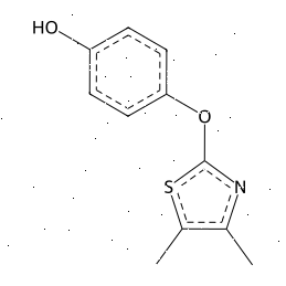 Cc1nc(Oc2ccc(O)cc2)sc1C